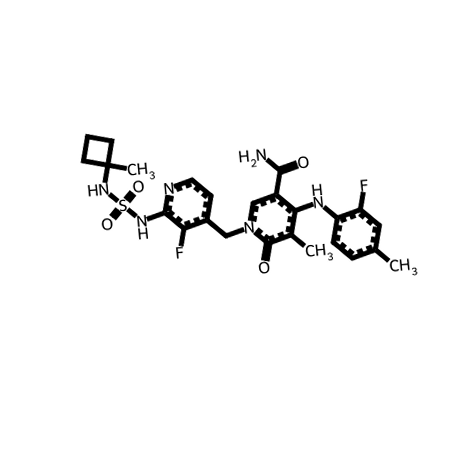 Cc1ccc(Nc2c(C(N)=O)cn(Cc3ccnc(NS(=O)(=O)NC4(C)CCC4)c3F)c(=O)c2C)c(F)c1